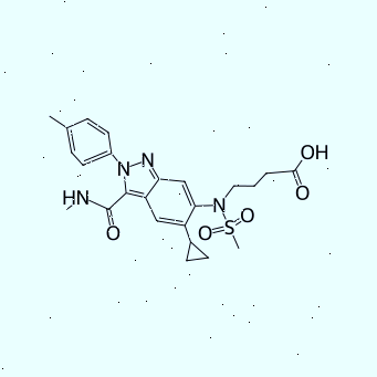 CNC(=O)c1c2cc(C3CC3)c(N(CCCC(=O)O)S(C)(=O)=O)cc2nn1-c1ccc(C)cc1